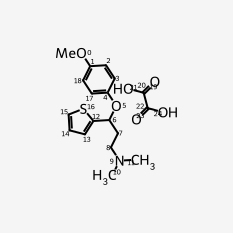 COc1ccc(OC(CCN(C)C)c2cccs2)cc1.O=C(O)C(=O)O